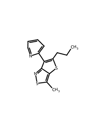 CCCc1sc2c(C)snc2c1-c1ccccn1